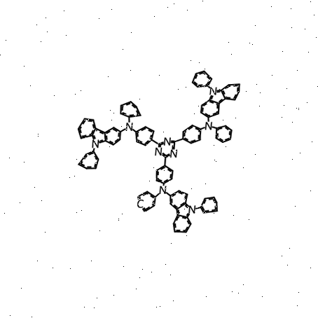 c1ccc(N(c2ccc(-c3nc(-c4ccc(N(c5ccccc5)c5ccc6c(c5)c5ccccc5n6-c5ccccc5)cc4)nc(-c4ccc(N(c5ccccc5)c5ccc6c(c5)c5ccccc5n6-c5ccccc5)cc4)n3)cc2)c2ccc3c(c2)c2ccccc2n3-c2ccccc2)cc1